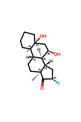 C[C@]12CC[C@H]3[C@@H]([C@H](O)C[C@@]4(O)CCCC[C@]34C)[C@@H]1C[C@@H](F)C2=O